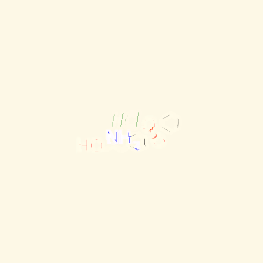 Cl.NC(CO)Cc1ccc(S(=O)(=O)c2ccccc2)cc1